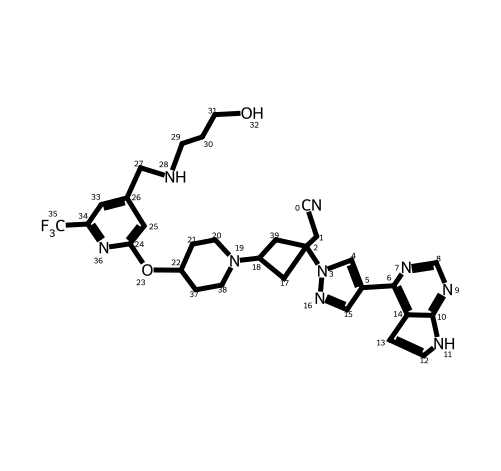 N#CCC1(n2cc(-c3ncnc4[nH]ccc34)cn2)CC(N2CCC(Oc3cc(CNCCCO)cc(C(F)(F)F)n3)CC2)C1